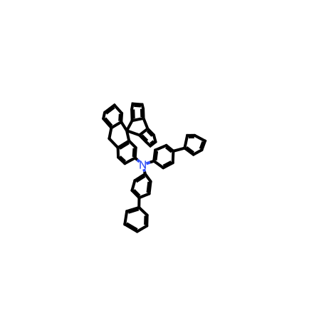 c1ccc(-c2ccc(N(c3ccc(-c4ccccc4)cc3)c3ccc4c(c3)C3(c5ccccc5C4)c4ccccc4-c4ccccc43)cc2)cc1